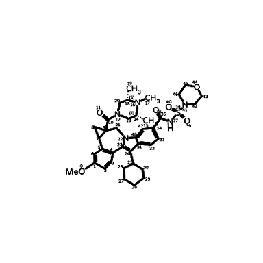 COc1ccc2c(c1)C1CC1(C(=O)N1C[C@@H](C)N(C)[C@@H](C)C1)Cn1c-2c(C2CCCCC2)c2ccc(C(=O)NS(=O)(=O)N3CCOCC3)cc21